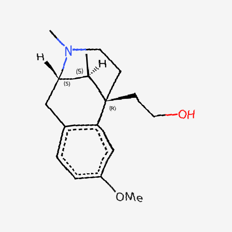 COc1ccc2c(c1)[C@@]1(CCO)CCN(C)[C@@H](C2)[C@H]1C